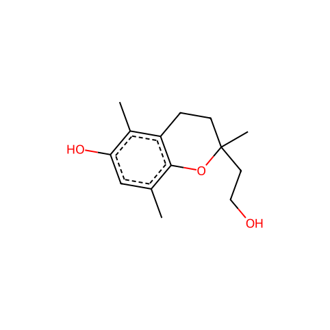 Cc1cc(O)c(C)c2c1OC(C)(CCO)CC2